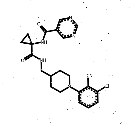 N#Cc1c(Cl)cccc1N1CCC(CNC(=O)C2(NC(=O)c3cncnc3)CC2)CC1